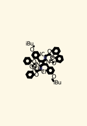 CCC(C)COc1ccc(-c2c3/c(=C(\C#N)c4nc5ccccc5o4)n([B-]4(C)Oc5ccccc5O4)c(-c4ccc(OCC(C)CC)cc4)c3/c(=C(\C#N)c3nc4ccccc4o3)n2B2Oc3ccccc3O2)cc1